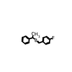 CC(B=Cc1ccc(F)cc1)c1ccccc1